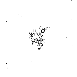 C[C@H](NC(=O)c1c2n(c(=O)n1-c1ccc(OC3CC3)cc1)CCN(C(=O)c1ccc(Br)c(Cl)c1)C2)c1ccc(OC(C)(C)C(N)=O)cc1F